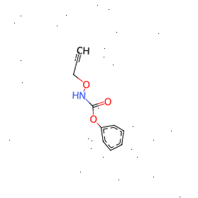 C#CCONC(=O)Oc1ccccc1